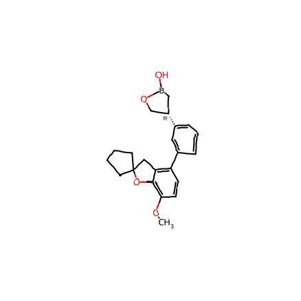 COc1ccc(-c2cccc([C@@H]3COB(O)C3)c2)c2c1OC1(CCCC1)C2